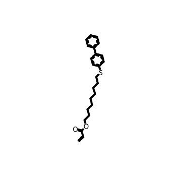 C=CC(=O)OCCCCCCCCCSc1ccc(-c2ccccc2)cc1